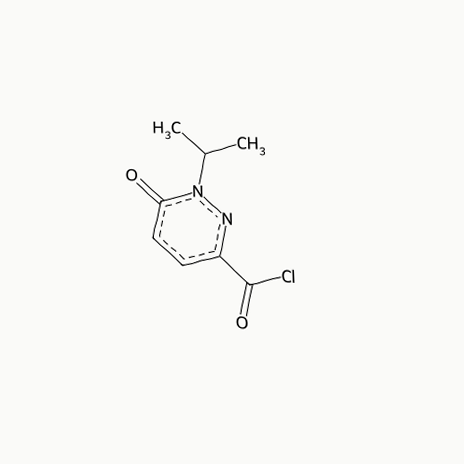 CC(C)n1nc(C(=O)Cl)ccc1=O